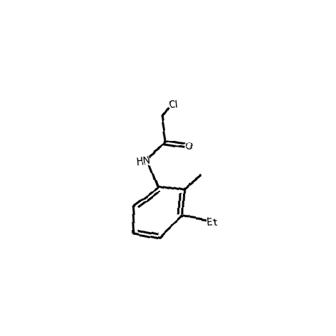 CCc1cccc(NC(=O)CCl)c1C